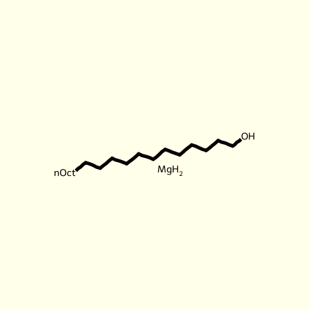 CCCCCCCCCCCCCCCCCCCCO.[MgH2]